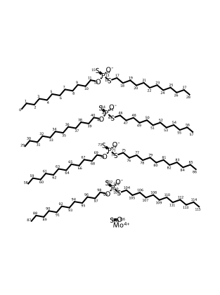 CCCCCCCCCCCCOP([O-])(=S)SCCCCCCCCCCCC.CCCCCCCCCCCCOP([O-])(=S)SCCCCCCCCCCCC.CCCCCCCCCCCCOP([O-])(=S)SCCCCCCCCCCCC.CCCCCCCCCCCCOP([O-])(=S)SCCCCCCCCCCCC.O=S.[Mo+4]